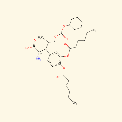 CCCCCC(=O)Oc1ccc(C(C(C)COC(=O)OC2CCCCC2)[C@H](N)C(=O)O)cc1OC(=O)CCCCC